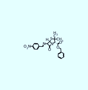 CC1(C)S[C@@H]2C(/N=C/c3ccc([N+](=O)[O-])cc3)C(=O)N2[C@H]1C(=O)OCc1ccccc1